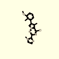 COc1cccc(-c2cn3nc(-c4nccn4C)nc(Cl)c3c2C)c1C